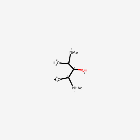 CNC(C)C(O)C(C)NC(C)=O